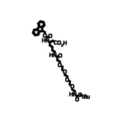 CC(C)(C)OC(=O)NCCOCCOCCOCCOCCC(=O)NCCCCC(CC(=O)O)NC(=O)OCC1c2ccccc2-c2ccccc21